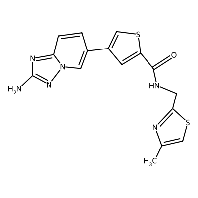 Cc1csc(CNC(=O)c2cc(-c3ccc4nc(N)nn4c3)cs2)n1